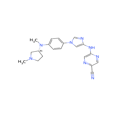 CN1CC[C@@H](N(C)c2ccc(-n3cnc(Nc4cnc(C#N)cn4)c3)cc2)C1